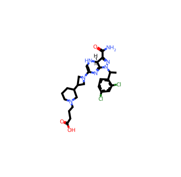 CC(c1ccc(Cl)cc1Cl)N1N=C(C(N)=O)[C@@H]2NC=C(N3CC(C4CCCN(CCCC(=O)O)C4)C3)N=C21